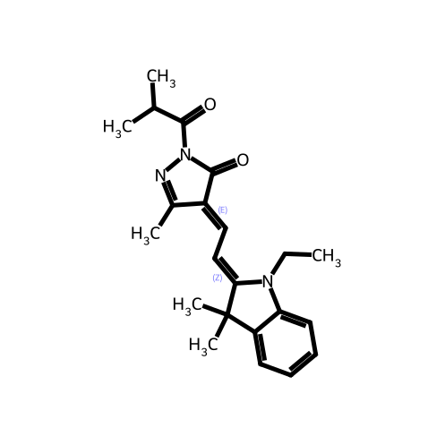 CCN1/C(=C\C=C2\C(=O)N(C(=O)C(C)C)N=C2C)C(C)(C)c2ccccc21